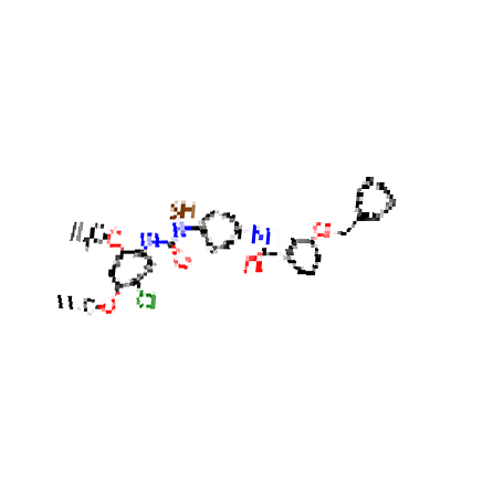 COc1cc(OC)c(NC(=O)N(S)c2ccc(NC(=O)c3cccc(OCc4ccccc4)c3)cc2)cc1Cl